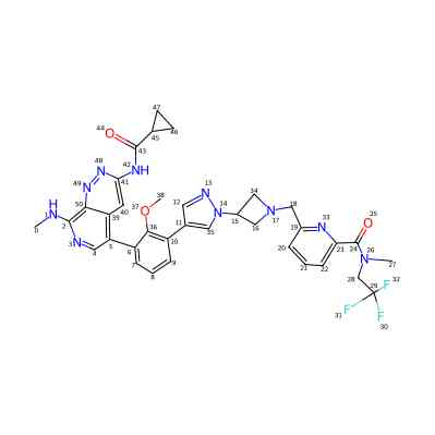 CNc1ncc(-c2cccc(-c3cnn(C4CN(Cc5cccc(C(=O)N(C)CC(F)(F)F)n5)C4)c3)c2OC)c2cc(NC(=O)C3CC3)nnc12